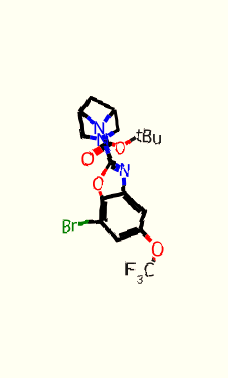 CC(C)(C)OC(=O)N1C2CC1CN(c1nc3cc(OC(F)(F)F)cc(Br)c3o1)C2